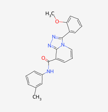 COc1ccccc1-c1nnc2c(C(=O)Nc3cccc(C)c3)cccn12